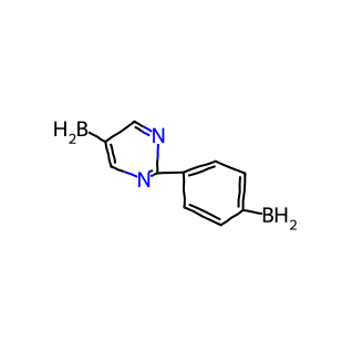 Bc1ccc(-c2ncc(B)cn2)cc1